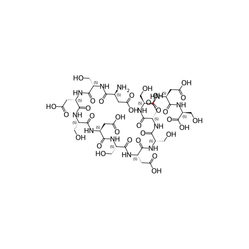 N[C@@H](CC(=O)O)C(=O)N[C@@H](CO)C(=O)N[C@@H](CC(=O)O)C(=O)N[C@@H](CO)C(=O)N[C@@H](CC(=O)O)C(=O)N[C@@H](CO)C(=O)N[C@@H](CC(=O)O)C(=O)N[C@@H](CO)C(=O)N[C@@H](CC(=O)O)C(=O)N[C@@H](CO)C(=O)N[C@@H](CC(=O)O)C(=O)N[C@@H](CO)C(=O)O